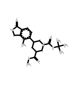 COC(=O)C1CC(c2ccc3c(c2C)COC3=O)CN(C(=O)OC(C)(C)C)C1